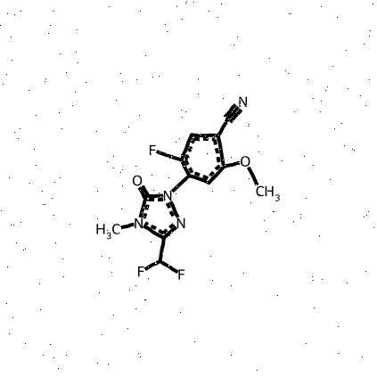 COc1cc(-n2nc(C(F)F)n(C)c2=O)c(F)cc1C#N